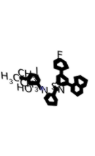 CC(C)(C)c1cc(I)cc(/C=N/c2ccccc2-c2nc3c(-c4cccc5ccccc45)cc(-c4ccc(F)cc4)cc3s2)c1O